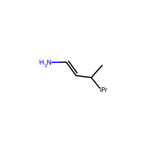 CC(C)C(C)C=CN